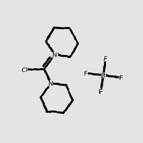 ClC(N1CCCCC1)=[N+]1CCCCC1.F[B-](F)(F)F